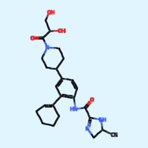 N#CC1CN=C(C(=O)Nc2ccc(C3CCN(C(=O)C(O)CO)CC3)cc2C2=CCCCC2)N1